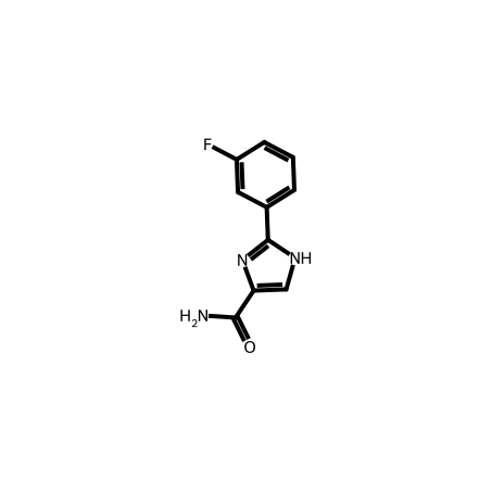 NC(=O)c1c[nH]c(-c2cccc(F)c2)n1